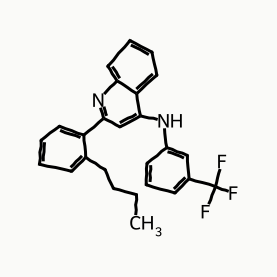 CCCCc1ccccc1-c1cc(Nc2cccc(C(F)(F)F)c2)c2ccccc2n1